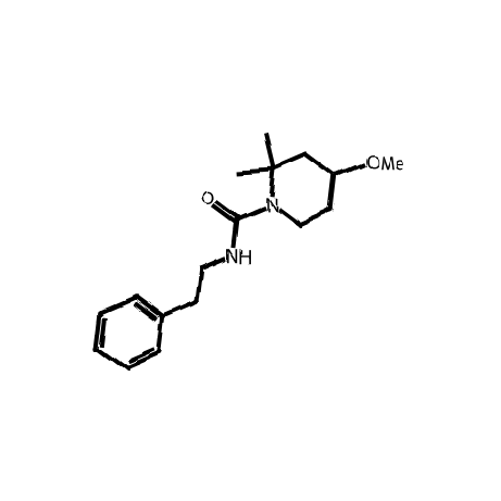 COC1CCN(C(=O)NCCc2ccccc2)C(C)(C)C1